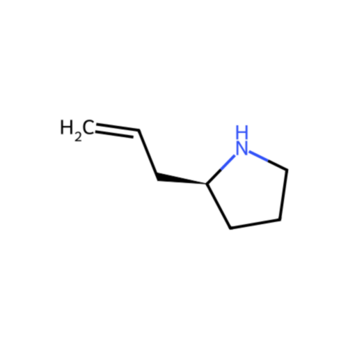 C=CC[C@@H]1CCCN1